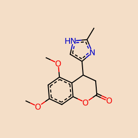 COc1cc(OC)c2c(c1)OC(=O)CC2c1c[nH]c(C)n1